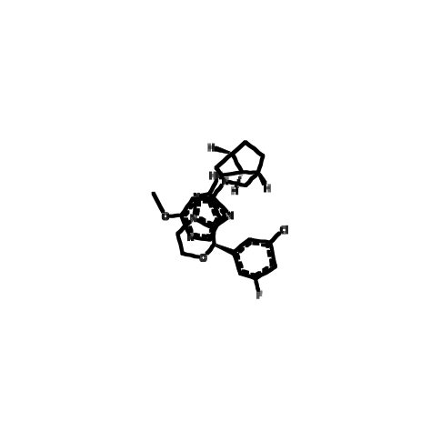 COc1cc(N2C[C@H]3CC[C@@H](C2)[C@@H]3Nc2nc3n(n2)CCO[C@@H]3c2cc(F)cc(Cl)c2)ccn1